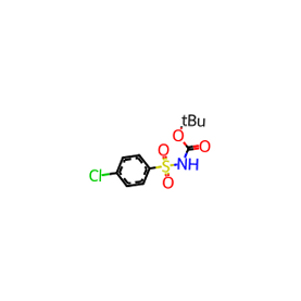 CC(C)(C)OC(=O)NS(=O)(=O)c1ccc(Cl)cc1